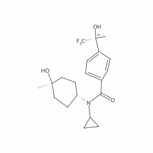 C[C@](O)(c1ccc(C(=O)N(C2CC2)[C@H]2CC[C@](C)(O)CC2)cc1)C(F)(F)F